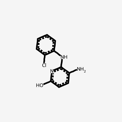 Nc1ccc(O)nc1Nc1ccccc1Cl